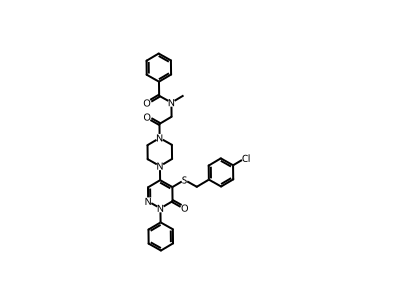 CN(CC(=O)N1CCN(c2cnn(-c3ccccc3)c(=O)c2SCc2ccc(Cl)cc2)CC1)C(=O)c1ccccc1